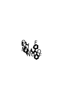 CC(c1oc2cccc(F)c2c(=O)c1-c1ccc(F)cc1)n1ncc2cnc(N3CCOCC3I)nc21